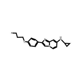 FCCCOc1ccc(-c2cn3ccc(NC4CC4)cc3n2)cc1